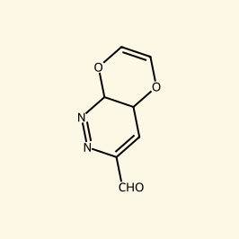 O=CC1=CC2OC=COC2N=N1